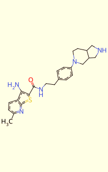 Cc1ccc2c(N)c(C(=O)NCCc3ccc(N4CCC5CNCC5C4)cc3)sc2n1